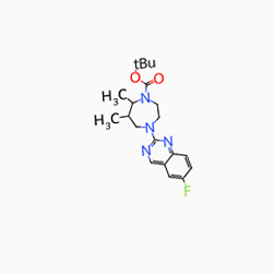 CC1CN(c2ncc3cc(F)ccc3n2)CCN(C(=O)OC(C)(C)C)C1C